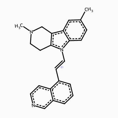 Cc1ccc2c(c1)c1c(n2/C=C/c2cccc3cnccc23)CCN(C)C1